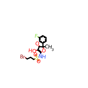 CC1(c2cccc(F)c2)OC(NS(=O)(=O)CCCBr)=C(O)C1=O